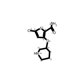 NC(=O)c1sc(Cl)cc1OC1CCCNC1